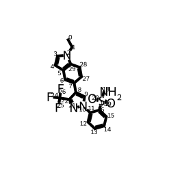 CCn1ccc2cc(-c3cn(-c4ccccc4S(N)(=O)=O)nc3C(F)(F)F)ccc21